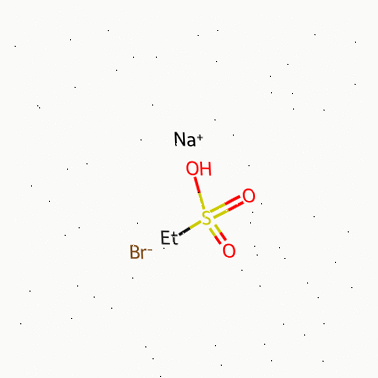 CCS(=O)(=O)O.[Br-].[Na+]